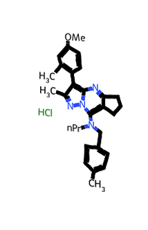 CCCN(Cc1ccc(C)cc1)c1c2c(nc3c(-c4ccc(OC)cc4C)c(C)nn13)CCC2.Cl